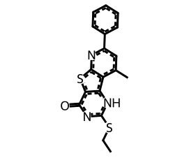 CCSc1nc(=O)c2sc3nc(-c4ccccc4)cc(C)c3c2[nH]1